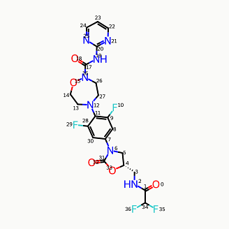 O=C(NC[C@H]1CN(c2cc(F)c(N3CCON(C(=O)Nc4ncccn4)CC3)c(F)c2)C(=O)O1)C(F)F